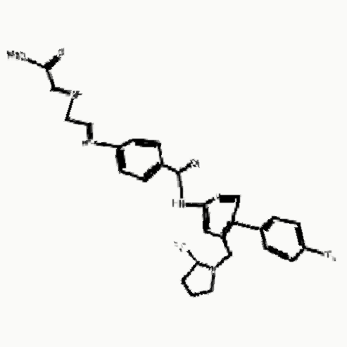 COC(=O)CNCCNc1ccc(C(O)Nc2cc(CN3CCC[C@H]3C(F)(F)F)c(-c3ccc(C(F)(F)F)cc3)cn2)cc1